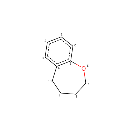 [c]1cccc2c1OCCCC2